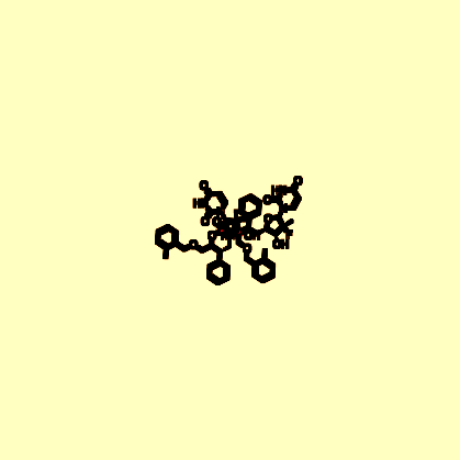 Cc1ccccc1COCC(OP(N)(=O)OC(COCc1ccccc1C)[C@H](C[C@H]1O[C@@H](n2ccc(=O)[nH]c2=O)[C@](C)(F)[C@@H]1O)c1ccccc1)[C@H](C[C@H]1O[C@@H](n2ccc(=O)[nH]c2=O)[C@](C)(F)[C@@H]1O)c1ccccc1